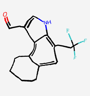 O=Cc1c[nH]c2c(C(F)(F)F)cc3c(c12)CCCC3